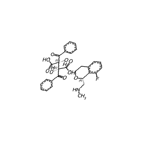 CNC[C@@H]1OCCc2cccc(F)c21.O=C(O)[C@@](O)(C(=O)c1ccccc1)[C@@](O)(C(=O)O)C(=O)c1ccccc1